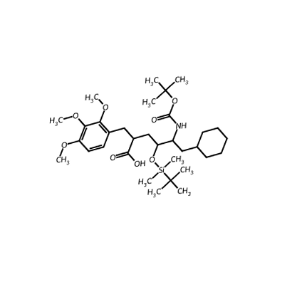 COc1ccc(CC(CC(O[Si](C)(C)C(C)(C)C)C(CC2CCCCC2)NC(=O)OC(C)(C)C)C(=O)O)c(OC)c1OC